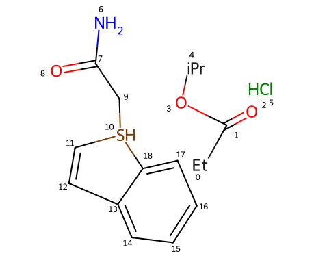 CCC(=O)OC(C)C.Cl.NC(=O)C[SH]1C=Cc2ccccc21